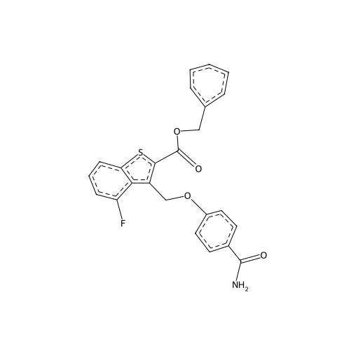 NC(=O)c1ccc(OCc2c(C(=O)OCc3ccccc3)sc3cccc(F)c23)cc1